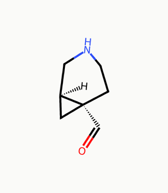 O=C[C@@]12CCNC[C@@H]1C2